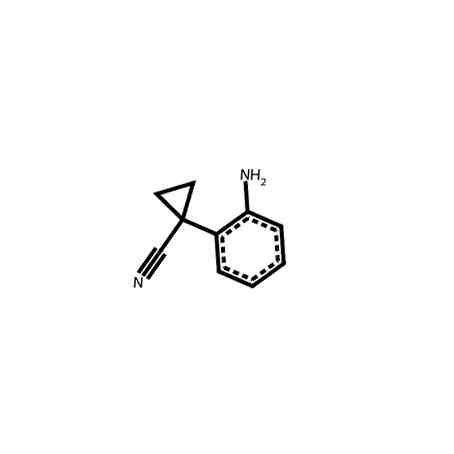 N#CC1(c2ccccc2N)CC1